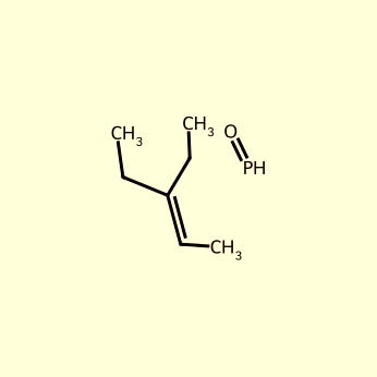 CC=C(CC)CC.O=P